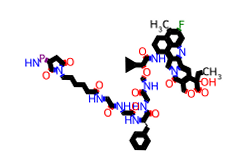 CC[C@@]1(O)C(=O)OCc2c1cc1n(c2=O)Cc2c-1nc1cc(F)c(C)c3c1c2[C@@H](NC(=O)C(OCNC(=O)CNC(=O)[C@H](Cc1ccccc1)NC(=O)CNC(=O)CNC(=O)CCCCCN1C(=O)CC(P=N)C1=O)C1CC1)CC3